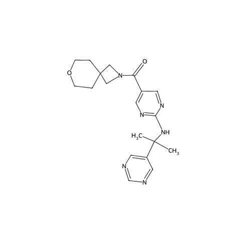 CC(C)(Nc1ncc(C(=O)N2CC3(CCOCC3)C2)cn1)c1cncnc1